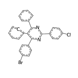 Clc1ccc(-c2nc(-c3ccccc3)c(-c3ccccc3)c(-c3ccc(Br)cc3)n2)cc1